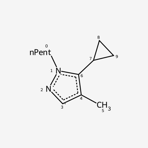 CCCCCn1n[c]c(C)c1C1CC1